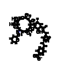 CO[C@]1(C)C[C@@H](C)/C(=N\OC2CCCCO2)[C@H](C)[C@@H](O)[C@](C)(O)COC(=O)[C@H](C)C(=O)[C@H](C)[C@H]1O[C@@H]1O[C@H](C)C[C@H](N(C)CCc2cn(CCc3ccc([N+](=O)[O-])cc3)nn2)[C@H]1O